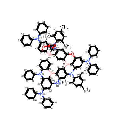 Cc1cc(C)c(N2c3cc4c(cc3B3c5cc6c(cc5Oc5cc(N(c7ccccc7)c7ccccc7)cc2c53)N(c2c(C)cc(C)cc2C)c2cc(N(c3ccccc3)c3ccccc3)cc3c2B6c2ccccc2O3)B2c3ccccc3N(c3ccccc3)c3cc(N(c5ccccc5)c5ccccc5)cc(c32)N4)c(C)c1